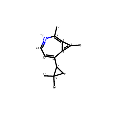 CC1=C2C(C)=C2C(C2CC2(C)C)=CC=N1